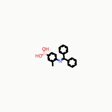 Cc1cc(B(O)O)ccc1N=C(c1ccccc1)c1ccccc1